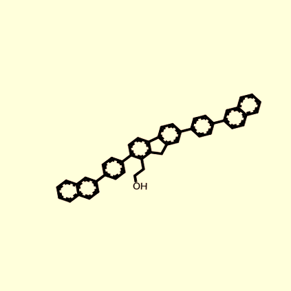 OCCc1c(-c2ccc(-c3ccc4ccccc4c3)cc2)ccc2c1Cc1cc(-c3ccc(-c4ccc5ccccc5c4)cc3)ccc1-2